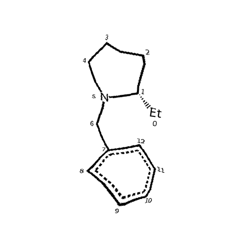 CC[C@H]1CCCN1Cc1ccccc1